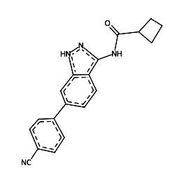 N#Cc1ccc(-c2ccc3c(NC(=O)C4CCC4)n[nH]c3c2)cc1